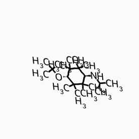 CC(C)N[C@H]1C(C)(C)C(C)(C)[C@H](OC(C)(C)C)C(C)(C)C1(C)C